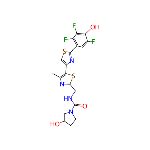 Cc1nc(CNC(=O)N2CCC(O)C2)sc1-c1csc(-c2cc(F)c(O)c(F)c2F)n1